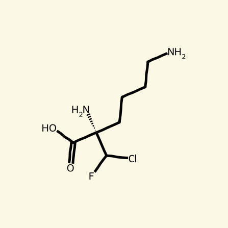 NCCCC[C@](N)(C(=O)O)C(F)Cl